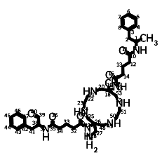 CC(Cc1ccccc1)NC(=O)CCCC(=O)NC1(C)CNCCNCC(CN)(NC(=O)CCCC(=O)NC(C=O)Cc2ccccc2)CNCCNC1